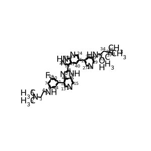 CN(C)CCNc1cc(F)cc(-c2cncc3[nH]c(-c4n[nH]c5ncc(-c6cncc(NC(O)CC(C)(C)C)c6)cc45)nc23)c1